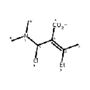 CCC(C)=C(C(=O)O)C(Cl)N(C)C